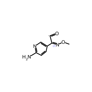 CO/N=C(\[C]=O)c1ccc(N)nc1